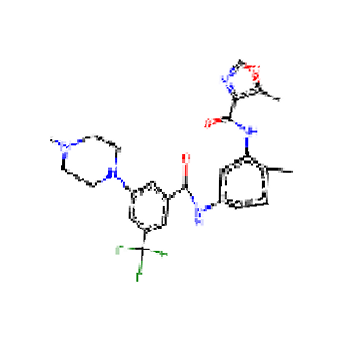 Cc1ccc(NC(=O)c2cc(N3CCN(C)CC3)cc(C(F)(F)F)c2)cc1NC(=O)c1ncoc1C